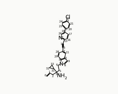 C=CCC(N)(CCn1ccc2cc(C#Cc3ccc(-c4ccc(Cl)cc4)cn3)ccc21)C1CC1